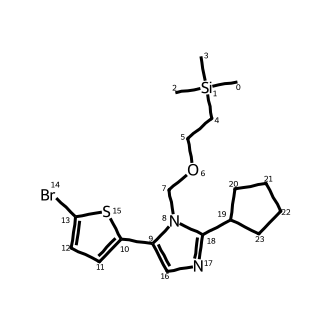 C[Si](C)(C)CCOCn1c(-c2ccc(Br)s2)cnc1C1CCCC1